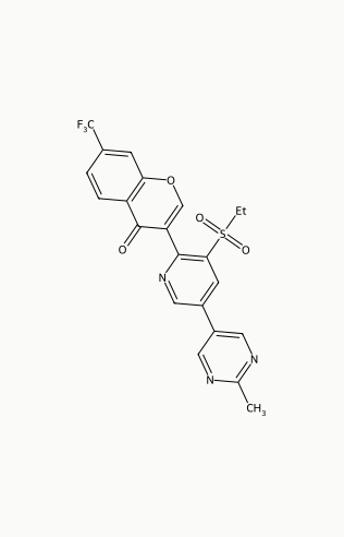 CCS(=O)(=O)c1cc(-c2cnc(C)nc2)cnc1-c1coc2cc(C(F)(F)F)ccc2c1=O